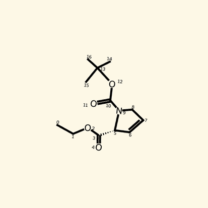 CCOC(=O)[C@H]1C=CCN1C(=O)OC(C)(C)C